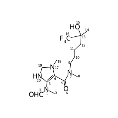 CN(C=O)C1=C(C(=O)N(C)CCCCC(C)(O)C(F)(F)F)N(C)CN1